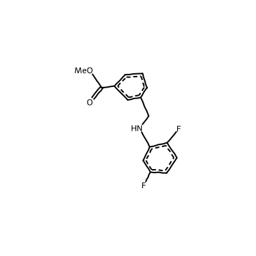 COC(=O)c1cccc(CNc2cc(F)ccc2F)c1